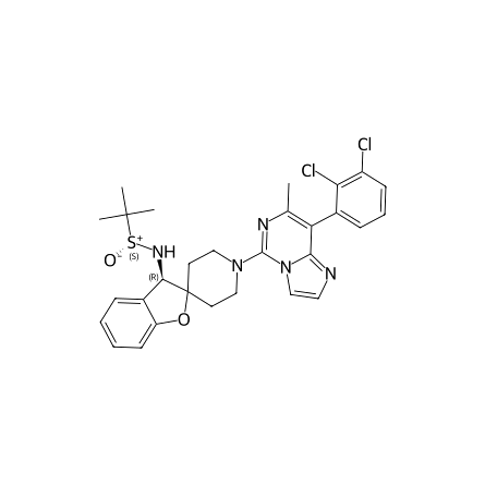 Cc1nc(N2CCC3(CC2)Oc2ccccc2[C@H]3N[S@+]([O-])C(C)(C)C)n2ccnc2c1-c1cccc(Cl)c1Cl